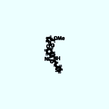 COCC1CCCN1C(=O)OC1CCc2c(sc(NC(=O)C=Cc3cccs3)c2C#N)C1